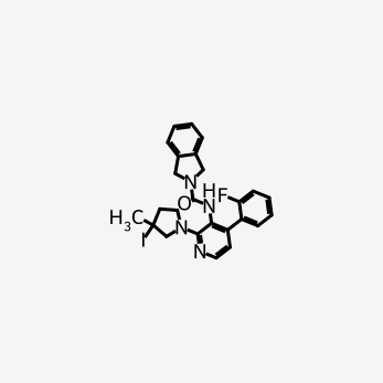 CC1(I)CCN(c2nccc(-c3ccccc3F)c2NC(=O)N2Cc3ccccc3C2)C1